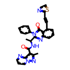 Cc1nn2cccnc2c1C(=O)NC(C)c1nc2cccc(C#Cc3nccs3)c2c(=O)n1-c1ccccc1